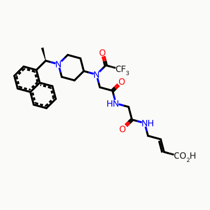 C[C@H](c1cccc2ccccc12)N1CCC(N(CC(=O)NCC(=O)NC/C=C/C(=O)O)C(=O)C(F)(F)F)CC1